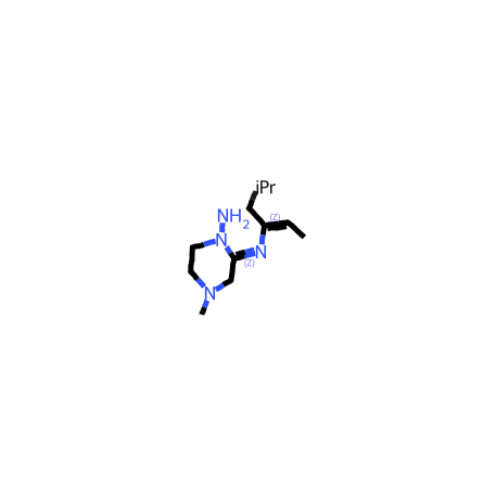 C/C=C(CC(C)C)\N=C1\CN(C)CCN1N